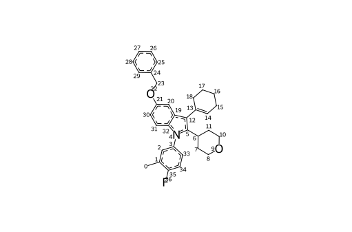 Cc1cc(-n2c(C3CCOCC3)c(C3=CCCCC3)c3cc(OCc4ccccc4)ccc32)ccc1F